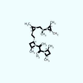 C=C(C(=C)P1[C@@H](C)C[C@@H]1C)P1[C@@H](CC[C@H]2[C@H](C)P2CN(C)P2[C@@H](C)[C@@H]2C)C[C@@H]1C